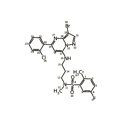 Cc1ccc(F)cc1S(=O)(=O)N(C)CCCNc1cc(-c2ccccc2Cl)nc2c(Br)cnn12